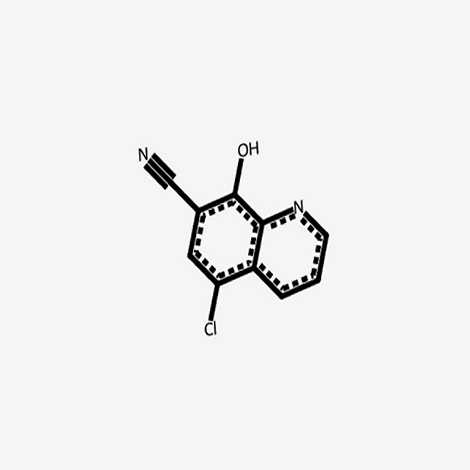 N#Cc1cc(Cl)c2cccnc2c1O